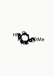 COC(=O)[C@@H](C)Cc1cccc([C@@]2(C)CCCC(C)(C)CN(C)C(=O)CCc3c(c(F)cc4[nH]ccc34)Oc3ccnc(c3)-c3nc2nn3C)c1